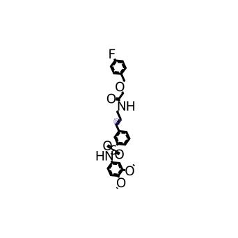 COc1ccc(NS(=O)(=O)c2cccc(/C=C/CNC(=O)COCc3ccc(F)cc3)c2)cc1OC